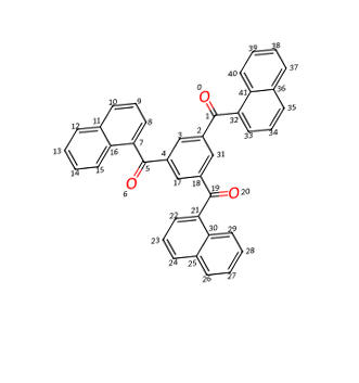 O=C(c1cc(C(=O)c2cccc3ccccc23)cc(C(=O)c2cccc3ccccc23)c1)c1cccc2ccccc12